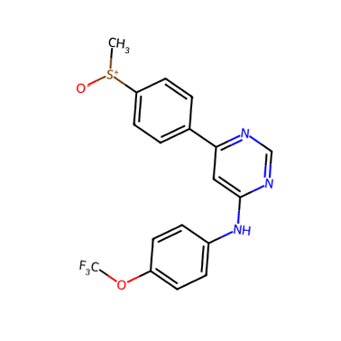 C[S+]([O-])c1ccc(-c2cc(Nc3ccc(OC(F)(F)F)cc3)ncn2)cc1